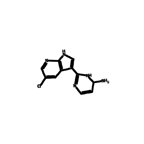 NC1C=CN=C(c2c[nH]c3ncc(Cl)cc23)N1